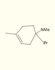 CNC1(C(C)C)CC=C(C)CC1